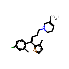 Cc1cc(F)ccc1C(=CCCN1CCC=C(C(=O)O)C1)c1sccc1C